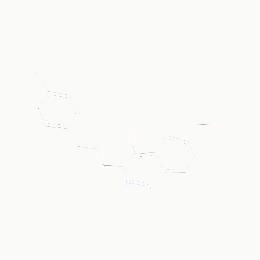 O=C(NCc1ccc(Cl)cc1)c1nnc2ccc(CO)cc2c1O